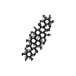 Cc1c2c3c(c(F)c(F)c4c5c(F)c(F)c6c7c(c(F)c(F)c(c(c1F)c34)c75)C(=O)N(c1c(F)c(F)c(F)c(F)c1F)C6=O)C(=O)N(c1c(F)c(F)c(F)c(F)c1F)C2=O